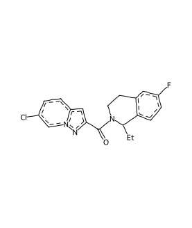 CCC1c2ccc(F)cc2CCN1C(=O)c1cc2ccc(Cl)cn2n1